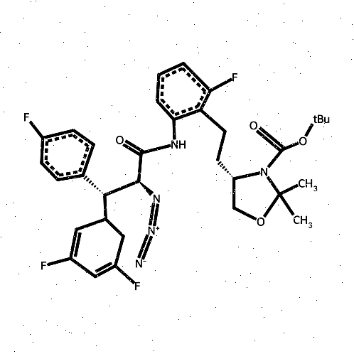 CC(C)(C)OC(=O)N1[C@@H](CCc2c(F)cccc2NC(=O)[C@@H](N=[N+]=[N-])[C@@H](c2ccc(F)cc2)C2C=C(F)C=C(F)C2)COC1(C)C